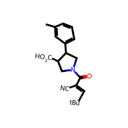 Cc1cccc(C2CN(C(=O)/C(C#N)=C/C(C)(C)C)CC2C(=O)O)c1